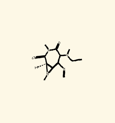 C=NC1C(N(C)CC)C(=O)N(C)C(=O)[C@H]2C1N2C